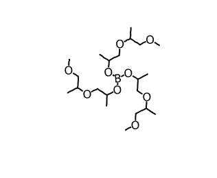 COCC(C)OCC(C)OB(OC(C)COC(C)COC)OC(C)COC(C)COC